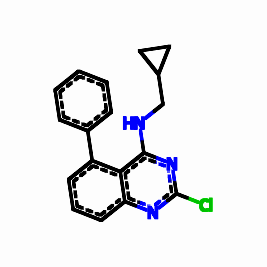 Clc1nc(NCC2CC2)c2c(-c3ccccc3)cccc2n1